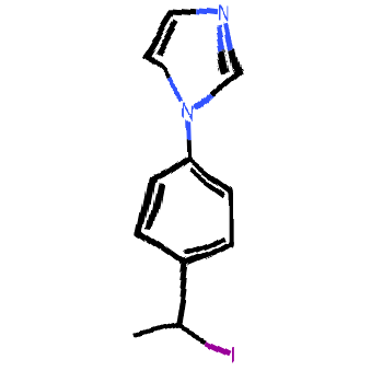 CC(I)c1ccc(-n2ccnc2)cc1